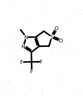 Cn1nc(C(F)(F)F)c2c1CS(=O)(=O)C2